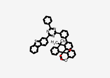 CC1(C)c2ccccc2C2(c3ccccc3Oc3ccccc32)c2cccc(-c3cccc(-c4nc(-c5ccccc5)nc(-c5ccc6c(c5)sc5ccccc56)n4)c3)c21